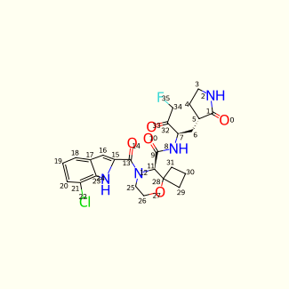 O=C1NCC[C@H]1C[C@@H](NC(=O)[C@@H]1N(C(=O)c2cc3cccc(Cl)c3[nH]2)CCOC12CCC2)C(=O)CF